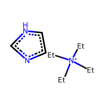 CC[N+](CC)(CC)CC.c1c[nH]cn1